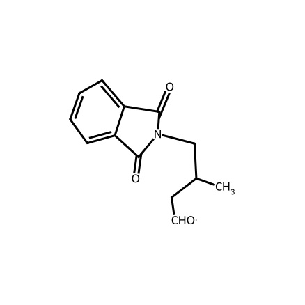 CC(C[C]=O)CN1C(=O)c2ccccc2C1=O